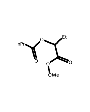 CCCC(=O)OC(CC)C(=O)OOC